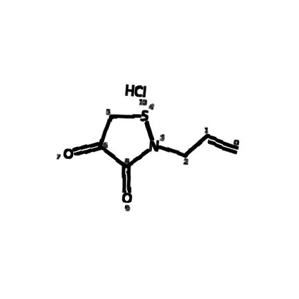 C=CCN1SCC(=O)C1=O.Cl